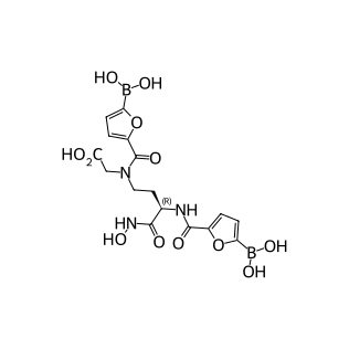 O=C(O)CN(CC[C@@H](NC(=O)c1ccc(B(O)O)o1)C(=O)NO)C(=O)c1ccc(B(O)O)o1